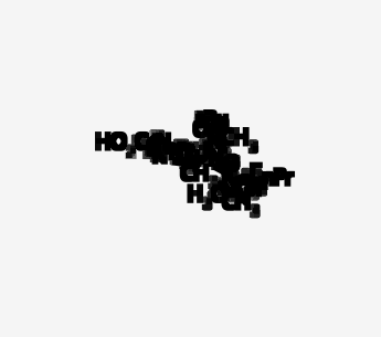 CCCC(F)(F)c1cnc2c(c1)N(C(=O)CN1C[C@@H](C)N(C(=O)OC(C)(C)C)C[C@@H]1CN1CCN(c3ncc(C(=O)O)cn3)CC1C)CC2(C)C